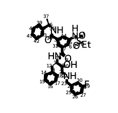 CCS(=O)(=O)Nc1cc(C(=O)N[C@@H](Cc2ccccc2)[C@H](O)CNCc2cccc(F)c2)cc(C(=O)N[C@H](C)c2ccccc2)c1